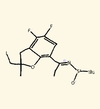 C/C(=N\[S+]([O-])C(C)(C)C)c1cc(F)c(F)c2c1OC(C)(CI)C2